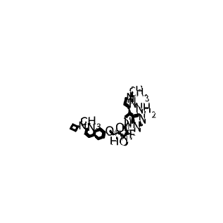 CN(c1ccc2ccc(OC[C@H]3O[C@@H](n4cc(-c5ccn(C)n5)c5c(N)ncnc54)[C@@H](F)[C@@H]3O)cc2n1)C1CCC1